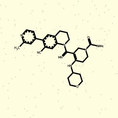 CNC(=O)N1CCC(NC2CCOCC2)=C(C(=N)N2CCCc3cc(-c4ccnc(C)c4)c(C#N)cc32)C1